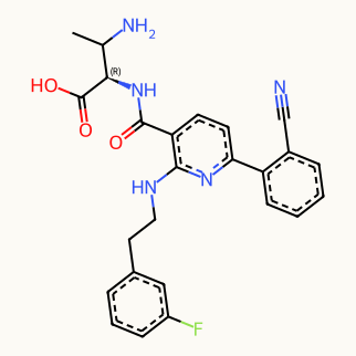 CC(N)[C@@H](NC(=O)c1ccc(-c2ccccc2C#N)nc1NCCc1cccc(F)c1)C(=O)O